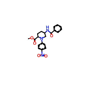 COC(=O)C1CCC(NC(=O)c2ccccc2)CN1c1ccc([N+](=O)[O-])cc1